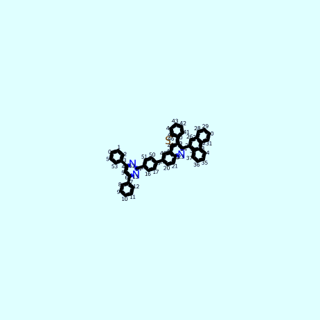 c1ccc(-c2cc(-c3ccccc3)nc(-c3ccc(-c4ccc5nc(-c6cc7ccccc7c7ccccc67)c6c7ccccc7sc6c5c4)cc3)n2)cc1